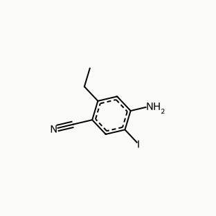 CCc1cc(N)c(I)cc1C#N